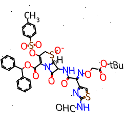 Cc1ccc(S(=O)(=O)OC2=C(C(=O)OC(c3ccccc3)c3ccccc3)N3C(=O)C(NC(=O)C(=NOCC(=O)OC(C)(C)C)c4csc(NC=O)n4)[C@@H]3[S+]([O-])C2)cc1